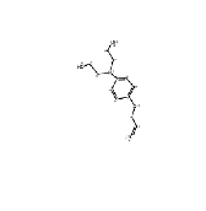 C=CCOc1ccc(N(CCO)CCO)cc1